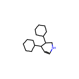 [CH]1NC=CC(C2CCCCC2)C1C1CCCCC1